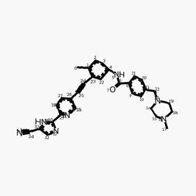 Cc1ccc(NC(=O)c2ccc(CN3CCN(C)CC3)cc2)cc1C#Cc1ccc(-c2ncc(C#N)[nH]2)nc1